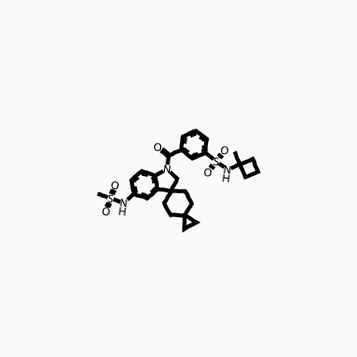 CC1(NS(=O)(=O)c2cccc(C(=O)N3CC4(CCC5(CC5)CC4)c4cc(NS(C)(=O)=O)ccc43)c2)CCC1